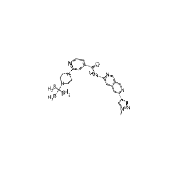 BC(B)(B)N1CCN(c2cc(C(=O)Nc3cc4cc(-c5cnn(C)c5)ncc4cn3)ccn2)CC1